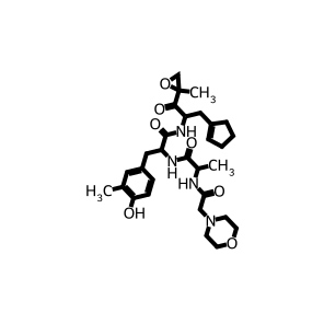 Cc1cc(CC(NC(=O)C(C)NC(=O)CN2CCOCC2)C(=O)NC(CC2=CCCC2)C(=O)C2(C)CO2)ccc1O